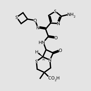 CC1(C(=O)O)CS[C@@H]2C(NC(=O)C(=NOC3CSC3)c3csc(N)n3)C(=O)N2C1